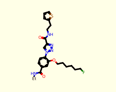 CCNC(=O)c1ccc(-n2cc(C(=O)NCCc3cccs3)nn2)c(OCCCCCCF)c1